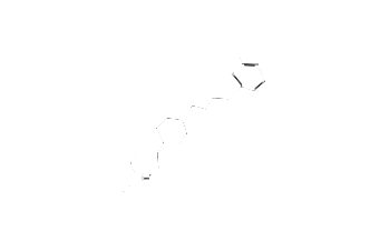 CCCC[Si@H]1CC[C@H]([C@H]2CC[C@H](CCCCc3ccc(F)c(F)c3)CC2)CC1